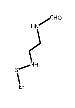 CCSNCCN[C]=O